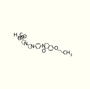 CCCCOc1ccc2c(c1)CCN(c1ccc(N3CCC(N4CCC(S(C)(=O)=O)C4)C3)cc1)C2=O